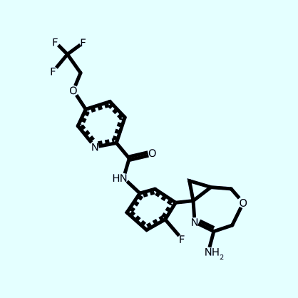 NC1=NC2(c3cc(NC(=O)c4ccc(OCC(F)(F)F)cn4)ccc3F)CC2COC1